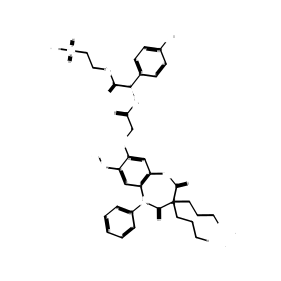 CCCCC1(CCCC)C(=O)Sc2cc(OCC(=O)N[C@@H](C(=O)NCCS(=O)(=O)O)c3ccc(O)cc3)c(OC)cc2N(c2ccccc2)C1=O